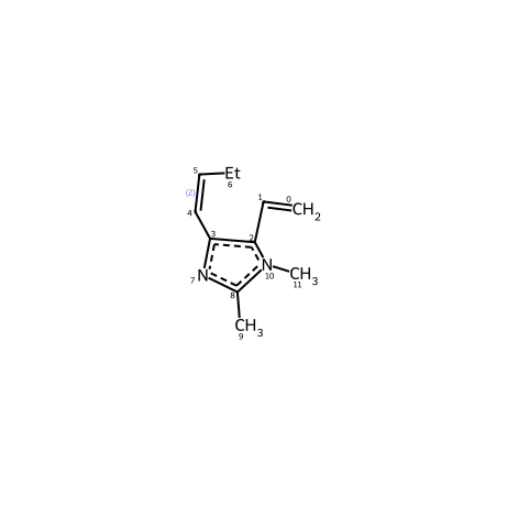 C=Cc1c(/C=C\CC)nc(C)n1C